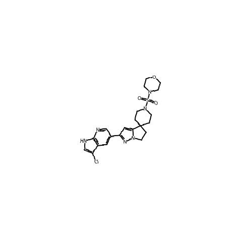 O=S(=O)(N1CCOCC1)N1CCC2(CC1)CCn1nc(-c3cnc4[nH]cc(Cl)c4c3)cc12